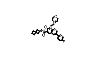 O=C(NC1CC2(CCC2)C1)c1cc2cc(-c3ccc(F)cn3)cnc2n(CCN2CCOCC2)c1=O